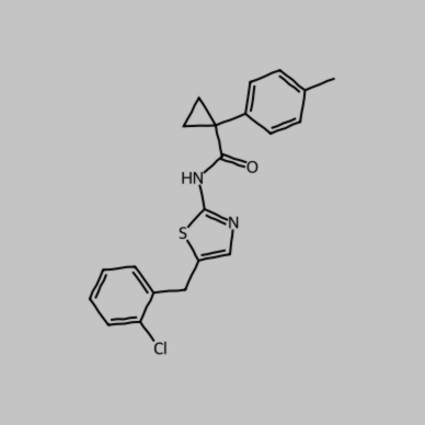 Cc1ccc(C2(C(=O)Nc3ncc(Cc4ccccc4Cl)s3)CC2)cc1